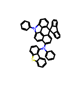 c1ccc(N(c2ccc3c4c2ccc2c4c4c(cccc4n2-c2ccccc2)C32c3ccccc3-c3ccccc32)c2cccc3sc4ccccc4c23)cc1